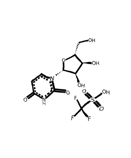 O=S(=O)(O)C(F)(F)F.O=c1ccn([C@@H]2O[C@H](CO)[C@@H](O)[C@H]2O)c(=O)[nH]1